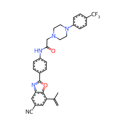 C=C(C)c1cc(C#N)cc2nc(-c3ccc(NC(=O)CN4CCN(c5ccc(C(F)(F)F)cc5)CC4)cc3)oc12